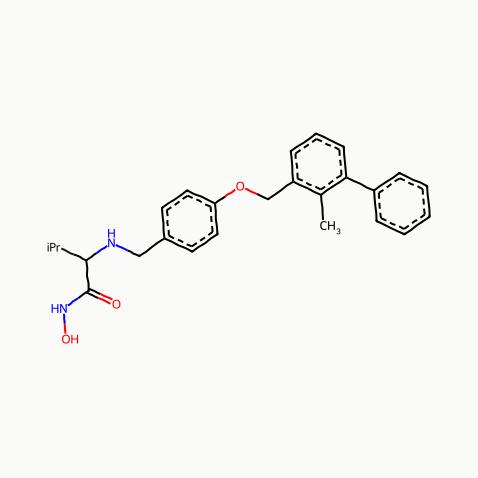 Cc1c(COc2ccc(CNC(C(=O)NO)C(C)C)cc2)cccc1-c1ccccc1